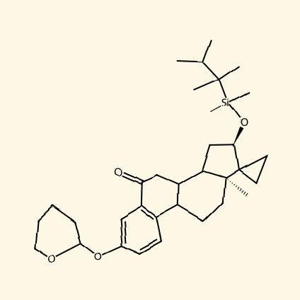 CC(C)C(C)(C)[Si](C)(C)O[C@@H]1CC2C3CC(=O)c4cc(OC5CCCCO5)ccc4C3CC[C@]2(C)C12CC2